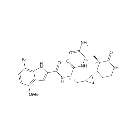 COc1ccc(Br)c2[nH]c(C(=O)N[C@@H](CC3CC3)C(=O)N[C@@H](C[C@@H]3CCCNC3=O)C(N)=O)cc12